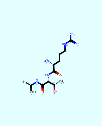 CC(C)[C@@H](NC(=O)[C@H](NC(=O)[C@H](N)CCCNC(=N)N)[C@H](C)O)C(=O)O